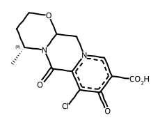 C[C@@H]1CCOC2Cn3cc(C(=O)O)c(=O)c(Cl)c3C(=O)N21